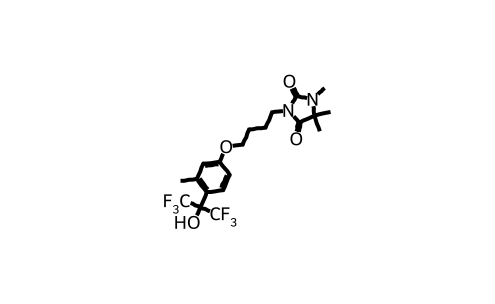 Cc1cc(OCCCCN2C(=O)N(C)C(C)(C)C2=O)ccc1C(O)(C(F)(F)F)C(F)(F)F